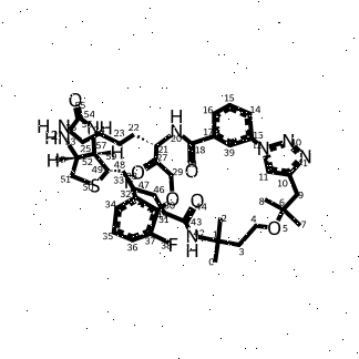 CC(C)(CCOC(C)(C)Cc1cn(-c2cccc(C(=O)N[C@@H](CCCCN)C(=O)COc3c(F)cccc3F)c2)nn1)NC(=O)CCCC[C@@H]1SC[C@@H]2NC(=O)N[C@@H]21